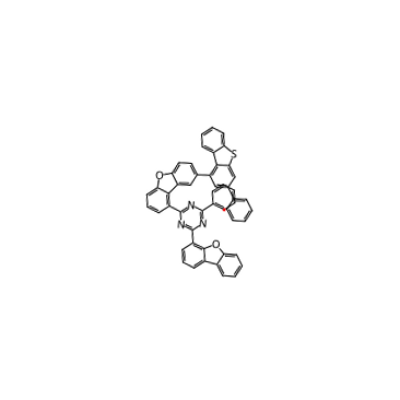 c1ccc(-c2cc(-c3ccc4oc5cccc(-c6nc(-c7ccccc7)nc(-c7cccc8c7oc7ccccc78)n6)c5c4c3)c3c(c2)sc2ccccc23)cc1